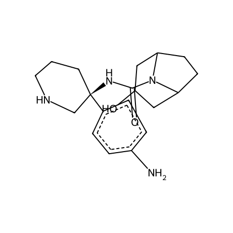 Nc1ccc([C@@]2(NC(=O)N3C4CCC3CC(O)C4)CCCNC2)cc1